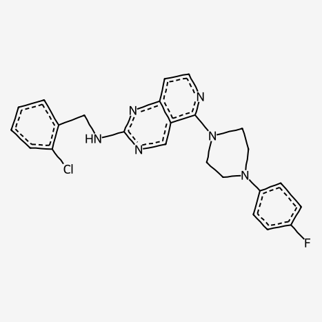 Fc1ccc(N2CCN(c3nccc4nc(NCc5ccccc5Cl)ncc34)CC2)cc1